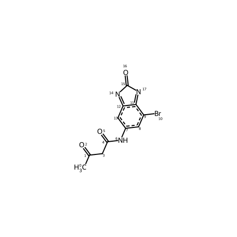 CC(=O)CC(=O)Nc1cc(Br)c2c(c1)=NC(=O)N=2